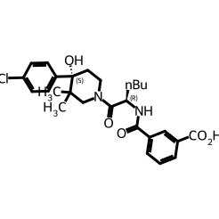 CCCC[C@@H](NC(=O)c1cccc(C(=O)O)c1)C(=O)N1CC[C@](O)(c2ccc(Cl)cc2)C(C)(C)C1